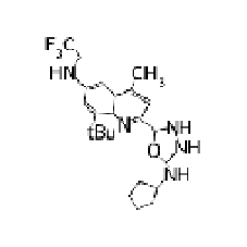 CC1=CC(C2NNC(NC3CCCC3)O2)=NC2C(C(C)(C)C)=CC(NCC(F)(F)F)=CC12